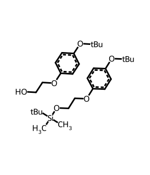 CC(C)(C)Oc1ccc(OCCO)cc1.CC(C)(C)Oc1ccc(OCCO[Si](C)(C)C(C)(C)C)cc1